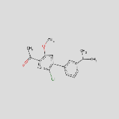 COc1cc(-c2cccc(C(C)C)c2)c(Cl)cc1C(C)=O